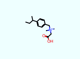 CCC(C)c1ccc(C[N+](C)(C)CC(=O)O)cc1